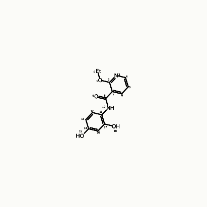 CCOc1ncccc1C(=O)Nc1ccc(O)cc1O